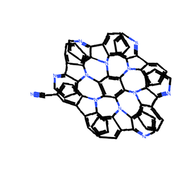 N#Cc1ccc2c(c1)c1ccccc1n2-c1c(-n2c3ccccc3c3ncccc32)c(-n2c3ccccc3c3ncccc32)c(-n2c3ccccc3c3ncccc32)c(-n2c3ccccc3c3ncccc32)c1-n1c2ccccc2c2ncccc21